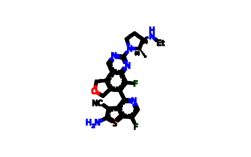 CCN[C@H]1CCN(c2ncc3c4c(c(-c5ncc(F)c6sc(N)c(C#N)c56)c(F)c3n2)COC4)[C@H]1C